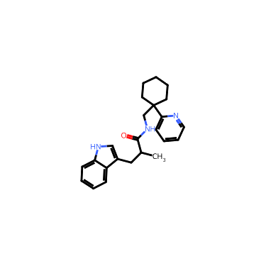 CC(Cc1c[nH]c2ccccc12)C(=O)NCC1(c2ccccn2)CCCCC1